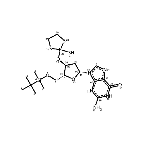 CC(C)(C)[Si](C)(C)OC[C@H]1O[C@@H](n2cnc3c(=O)[nH]c(N)nc32)C[C@@H]1O[P]1(S)SCCS1